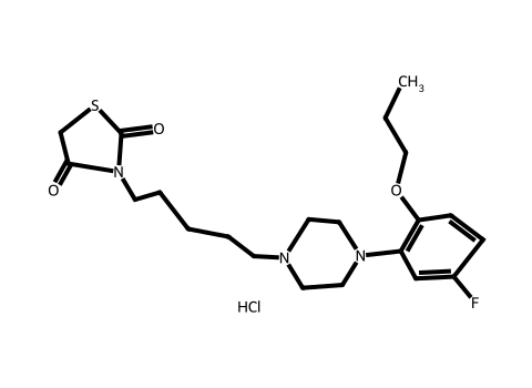 CCCOc1ccc(F)cc1N1CCN(CCCCCN2C(=O)CSC2=O)CC1.Cl